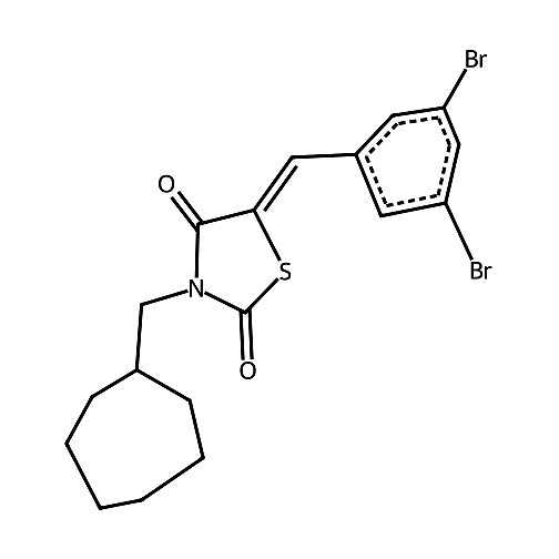 O=C1S/C(=C\c2cc(Br)cc(Br)c2)C(=O)N1CC1CCCCCC1